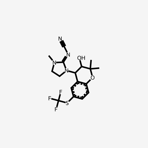 CN1CCN(C2c3cc(SC(F)(F)F)ccc3OC(C)(C)C2O)C1=NC#N